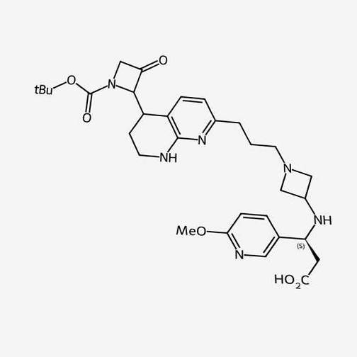 COc1ccc([C@H](CC(=O)O)NC2CN(CCCc3ccc4c(n3)NCCC4C3C(=O)CN3C(=O)OC(C)(C)C)C2)cn1